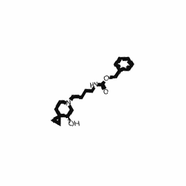 O=C(NCCCCN1CCC2(CC2)[C@H](O)C1)OCc1ccccc1